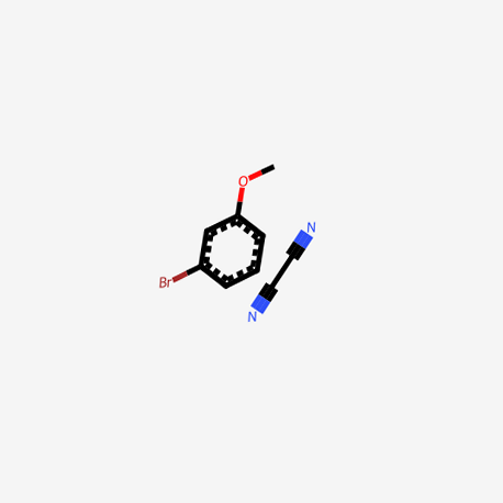 COc1cccc(Br)c1.N#CC#N